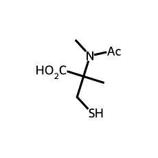 CC(=O)N(C)C(C)(CS)C(=O)O